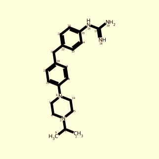 CC(C)N1CCN(c2ccc(Cc3ccc(NC(=N)N)cc3)cc2)CC1